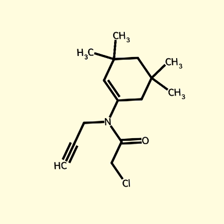 C#CCN(C(=O)CCl)C1=CC(C)(C)CC(C)(C)C1